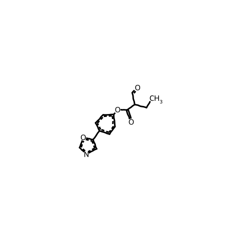 CCC(C=O)C(=O)Oc1ccc(-c2cnco2)cc1